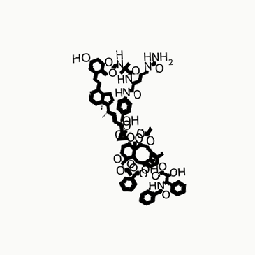 C=C1/C(=C\C=C2/CCC[C@@]3(C)C2CCC3[C@@H](C)/C=C/C(O)C2CC2)C[C@@H](O)C[C@@H]1OC(=O)NC(C)(C)C(=O)NC(CCCNC(N)=O)C(=O)Nc1ccc(COC(=O)OC2CC3OCC3(OC(C)=O)C3C(OC(=O)c4ccccc4)C4(O)CC(OC(=O)C(O)C(NC(=O)c5ccccc5)c5ccccc5)C(C)=C(C(OC(C)=O)C(=O)C23C)C4(C)C)cc1